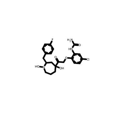 NC(=O)Nc1cc(Cl)ccc1OCC(=O)C1(O)CCCN(O)C(Cc2ccc(F)cc2)C1